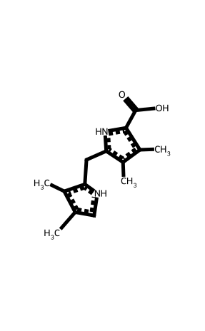 Cc1c[nH]c(Cc2[nH]c(C(=O)O)c(C)c2C)c1C